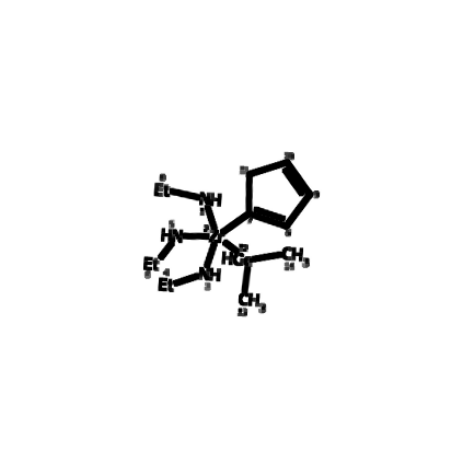 CC[NH][Zr]([NH]CC)([NH]CC)([C]1=CC=CC1)[GeH]([CH3])[CH3]